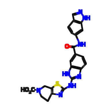 O=C(Nc1ccc2cn[nH]c2c1)c1ccc2nc(Nc3nc4c(s3)CN(C(=O)O)CC4)[nH]c2c1